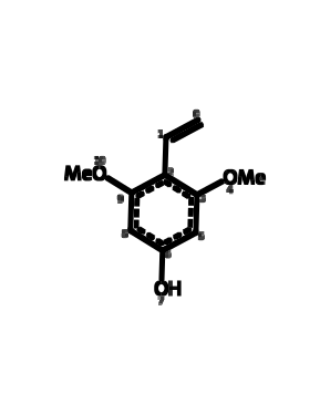 C=Cc1c(OC)cc(O)cc1OC